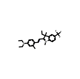 CCN(CC)c1ccc(/C=C/C2=[N+](C)c3ccc(C(F)(F)F)cc3C2(C)CC)c(C)c1